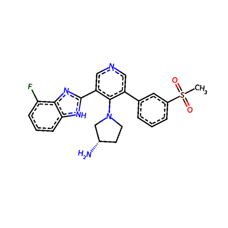 CS(=O)(=O)c1cccc(-c2cncc(-c3nc4c(F)cccc4[nH]3)c2N2CC[C@H](N)C2)c1